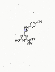 CCCN(CCC)c1nc(O)nc(/C=N/Nc2ccc(O)cc2)n1